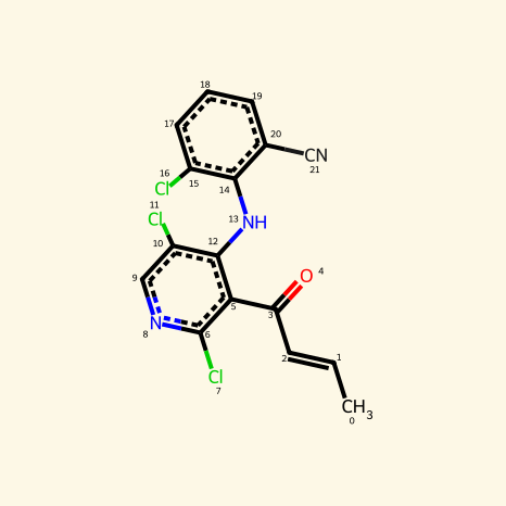 C/C=C/C(=O)c1c(Cl)ncc(Cl)c1Nc1c(Cl)cccc1C#N